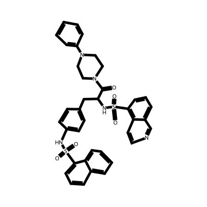 O=C(C(Cc1ccc(NS(=O)(=O)c2cccc3ccccc23)cc1)NS(=O)(=O)c1cccc2cnccc12)N1CCN(c2ccccc2)CC1